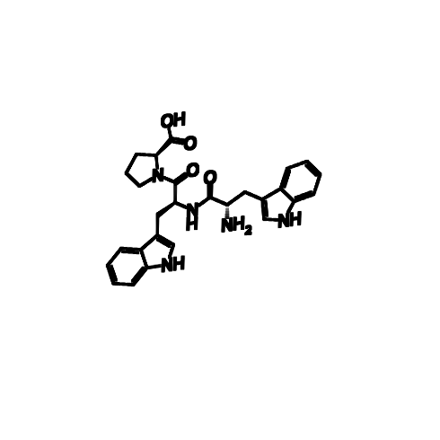 N[C@@H](Cc1c[nH]c2ccccc12)C(=O)N[C@@H](Cc1c[nH]c2ccccc12)C(=O)N1CCC[C@H]1C(=O)O